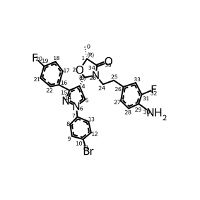 C[C@H]1O[C@@H](c2cn(-c3ccc(Br)cc3)nc2-c2ccc(F)cc2)N(CCc2ccc(N)c(F)c2)C1=O